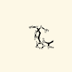 CCCOC(CC[Si](OCC)(OCC)OC(C)OC)(OCCC)OCCC